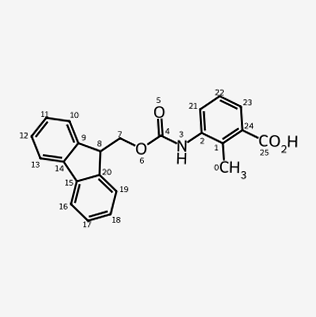 Cc1c(NC(=O)OCC2c3ccccc3-c3ccccc32)cccc1C(=O)O